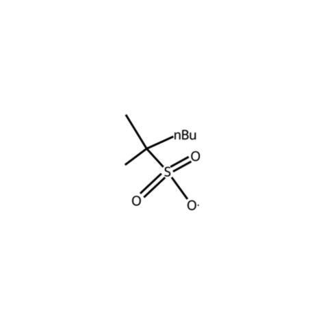 CCCCC(C)(C)S([O])(=O)=O